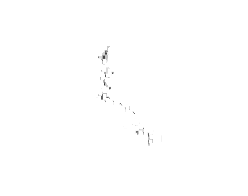 CC(C)n1nc(N2CCC(N3CCN(Cc4cc(Br)c5c(c4)CN(C4CCC(=O)NC4=O)C5=O)CC3)CC2)c2cnc(Nc3ccnc(-c4cnn(S(=O)(=O)C5CC5)c4)n3)cc21